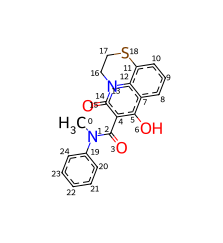 CN(C(=O)c1c(O)c2cccc3c2n(c1=O)CCS3)c1ccccc1